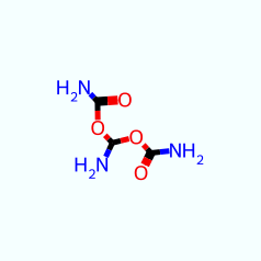 NC(=O)OC(N)OC(N)=O